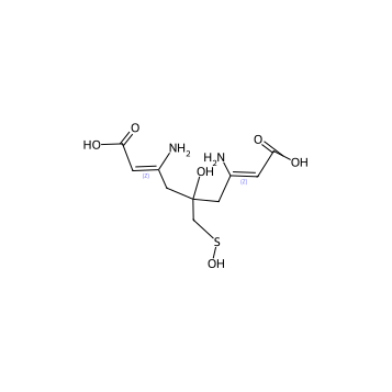 N/C(=C\C(=O)O)CC(O)(CSO)C/C(N)=C/C(=O)O